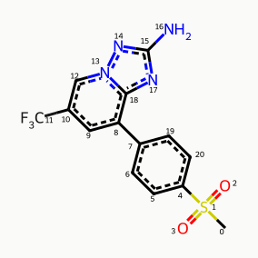 CS(=O)(=O)c1ccc(-c2cc(C(F)(F)F)cn3nc(N)nc23)cc1